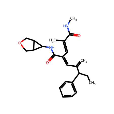 C=C(/C=C(\C=C(/C)C(=O)NC)C(=O)NC1C2COCC21)C(CC)c1ccccc1